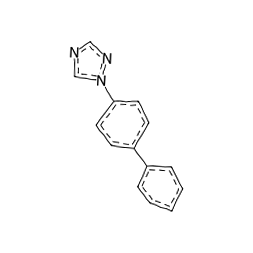 c1ccc(-c2ccc(-n3cncn3)cc2)cc1